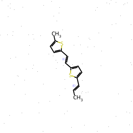 C/C=C/c1ccc(/C=C/c2ccc(C)s2)s1